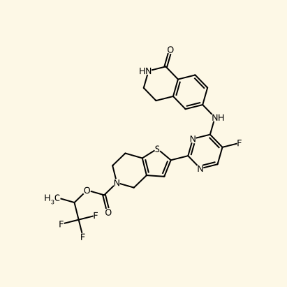 CC(OC(=O)N1CCc2sc(-c3ncc(F)c(Nc4ccc5c(c4)CCNC5=O)n3)cc2C1)C(F)(F)F